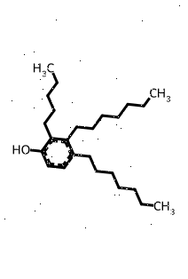 CCCCCCCc1ccc(O)c(CCCCC)c1CCCCCCC